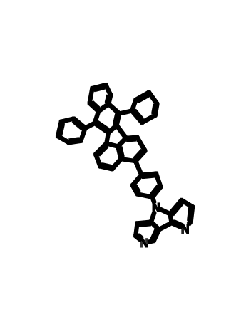 c1ccc(-c2c3c(c(-c4ccccc4)c4ccccc24)-c2ccc(-c4ccc(-n5c6ccncc6c6ncccc65)cc4)c4cccc-3c24)cc1